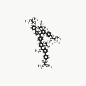 C=C(C)C(=O)Oc1ccc(C2=CC(C(c3ccc(-c4ccc(C(C)c5cc(-c6ccc(OC(=O)C(=C)C)cc6)ccc5OC(=O)C(=C)C)cc4)cc3)c3cc(-c4ccc(OC(=O)C(=C)C)cc4)ccc3OC(=O)C(=C)C)C=C2)cc1